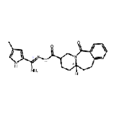 Cc1c[nH]c(/C(N)=N/OC(=O)C2CC[C@H]3CCc4ccccc4C(=O)N3C2)c1